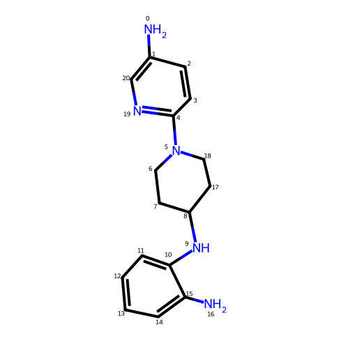 Nc1ccc(N2CCC(Nc3ccccc3N)CC2)nc1